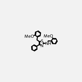 COc1ccccc1CNc1nc(-c2ccccc2)c(Cc2ccccc2OC)s1